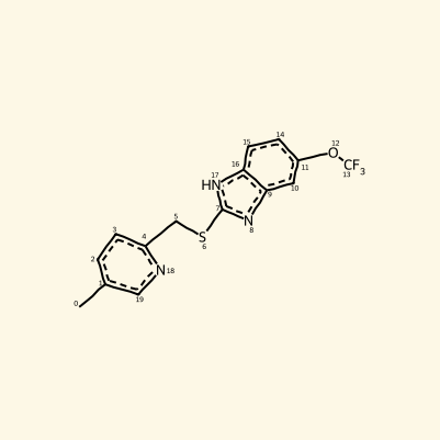 Cc1ccc(CSc2nc3cc(OC(F)(F)F)ccc3[nH]2)nc1